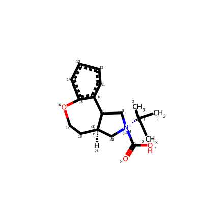 CC(C)(C)[N@@+]1(C(=O)O)CC2c3ccccc3OCC[C@@H]2C1